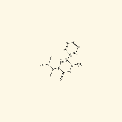 CC1CC(=O)N(C(F)C(F)F)N=C1c1ccccc1